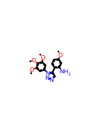 COc1ccc(-c2cnnn2-c2cc(OC)c(OC)c(OC)c2)c(N)c1